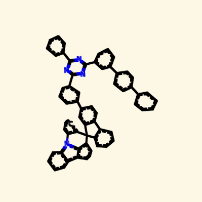 c1ccc(-c2ccc(-c3cccc(-c4nc(-c5ccccc5)nc(-c5cccc(-c6ccc7c(c6)C6(c8ccccc8-7)c7ccccc7-n7c8ccccc8c8cccc6c87)c5)n4)c3)cc2)cc1